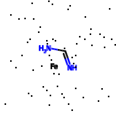 N=CN.[Fe]